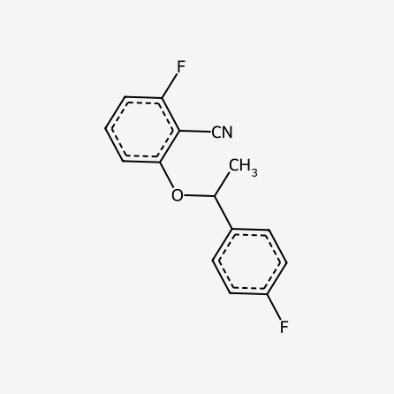 CC(Oc1cccc(F)c1C#N)c1ccc(F)cc1